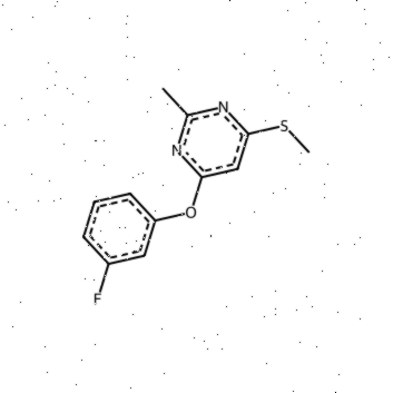 CSc1cc(Oc2cccc(F)c2)nc(C)n1